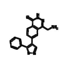 NCc1n[nH]c(=O)c2ccc(-c3cnsc3-c3ccccc3)cc12